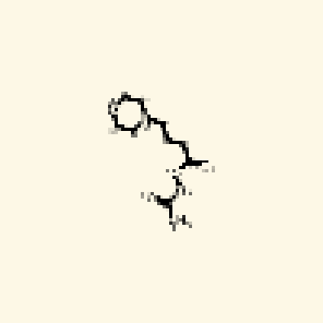 CC(=O)OOC(=O)CCCN1CCOCC1